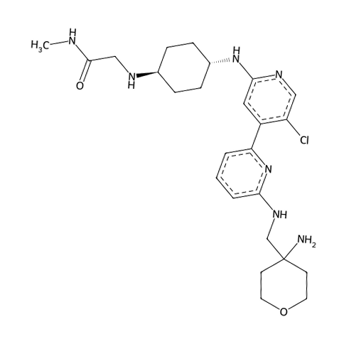 CNC(=O)CN[C@H]1CC[C@H](Nc2cc(-c3cccc(NCC4(N)CCOCC4)n3)c(Cl)cn2)CC1